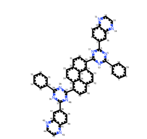 c1ccc(-c2nc(-c3ccc4nccnc4c3)nc(-c3ccc4ccc5c(-c6nc(-c7ccccc7)nc(-c7ccc8nccnc8c7)n6)ccc6ccc3c4c65)n2)cc1